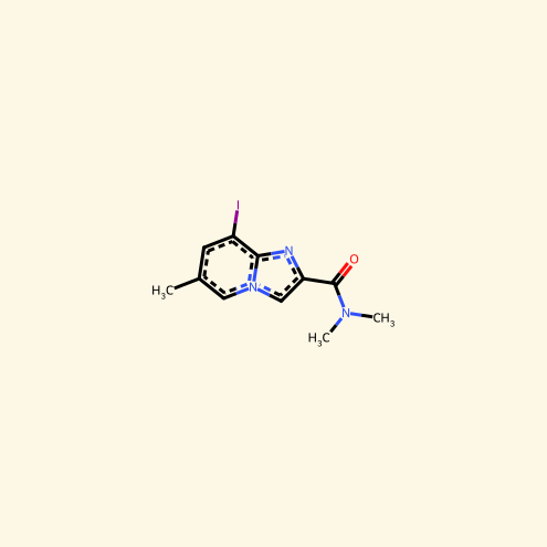 Cc1cc(I)c2nc(C(=O)N(C)C)cn2c1